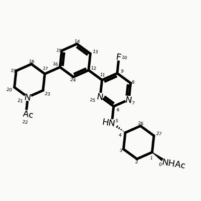 CC(=O)N[C@H]1CC[C@H](Nc2ncc(F)c(-c3cccc(C4CCCN(C(C)=O)C4)c3)n2)CC1